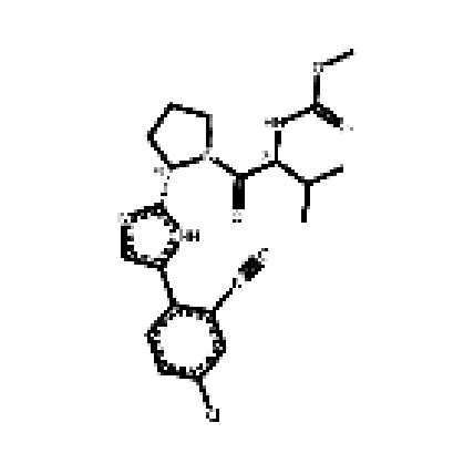 [C-]#[N+]c1cc(Cl)ccc1-c1cnc([C@@H]2CCCN2C(=O)[C@@H](NC(=O)OC)C(C)C)[nH]1